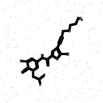 NCCOCC#Cc1cc(C(=O)Nc2cc(F)c(=O)n(CC(F)F)c2)sc1Cl